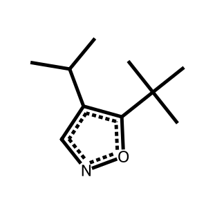 CC(C)c1cnoc1C(C)(C)C